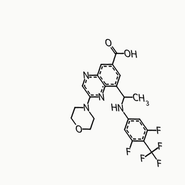 CC(Nc1cc(F)c(C(F)(F)F)c(F)c1)c1cc(C(=O)O)cc2ncc(N3CCOCC3)nc12